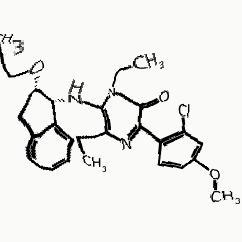 CCO[C@H]1Cc2ccccc2[C@H]1Nc1c(CC)nc(-c2ccc(OC)cc2Cl)c(=O)n1CC